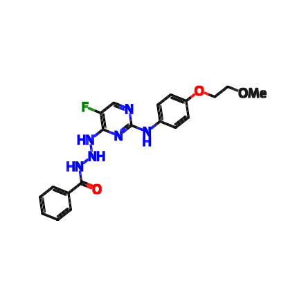 COCCOc1ccc(Nc2ncc(F)c(NNNC(=O)c3ccccc3)n2)cc1